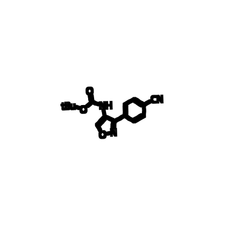 CC(C)(C)OC(=O)Nc1conc1-c1ccc(C#N)cc1